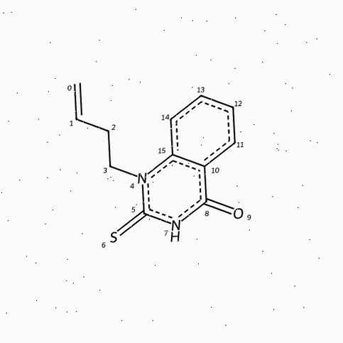 C=CCCn1c(=S)[nH]c(=O)c2ccccc21